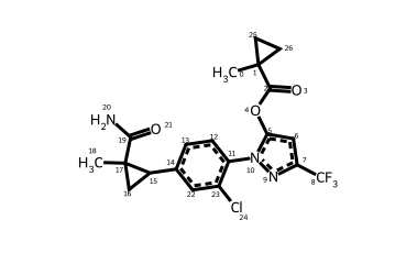 CC1(C(=O)Oc2cc(C(F)(F)F)nn2-c2ccc(C3CC3(C)C(N)=O)cc2Cl)CC1